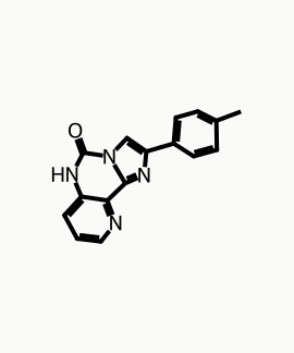 Cc1ccc(-c2cn3c(=O)[nH]c4cccnc4c3n2)cc1